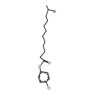 CC(Br)CCCCCCCCCC(=O)Oc1ccc(Cl)cc1